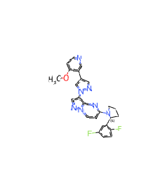 COc1ccncc1-c1cnn(-c2cnn3ccc(N4CCC[C@H]4c4cc(F)ccc4F)nc23)c1